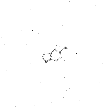 CCC(C)c1ccn2nccc2n1